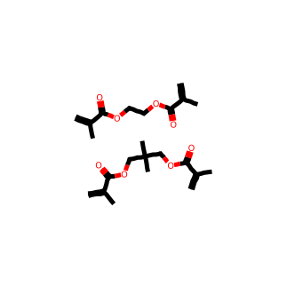 C=C(C)C(=O)OCC(C)(C)COC(=O)C(=C)C.C=C(C)C(=O)OCCOC(=O)C(=C)C